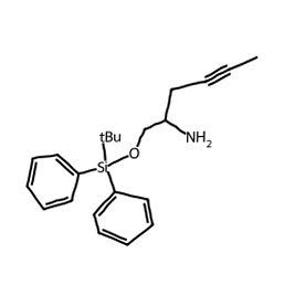 CC#CCC(N)CO[Si](c1ccccc1)(c1ccccc1)C(C)(C)C